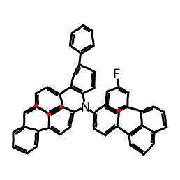 Fc1cccc(-c2cccc3cccc(-c4ccc(N(c5ccc6c(ccc7ccccc76)c5)c5ccc(-c6ccccc6)cc5-c5ccccc5)cc4)c23)c1